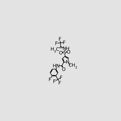 C[C@@H](NS(=O)(=O)c1cc(C(=O)Nc2ccc(F)c(C(F)(F)F)c2)n(C)c1)C(F)(F)F